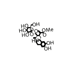 C=C[C@H]1[C@H](O[C@@H]2O[C@H](CO)[C@@H](O)[C@H](O)[C@H]2O)OC=C(C(=O)OC)[C@H]1C[C@H]1NCCc2cc(O)c(O)cc21